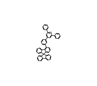 c1ccc(-c2cc(-c3cccc(-c4cccc5c4-c4ccccc4C54c5ccccc5-c5ccccc54)c3)cc(-c3ccccc3)n2)cc1